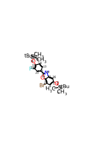 CC(C)(C)[Si](C)(C)Oc1cc(Br)c2oc(-c3ccc(O[Si](C)(C)C(C)(C)C)c(F)c3)nc2c1